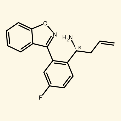 C=CC[C@@H](N)c1ccc(F)cc1-c1noc2ccccc12